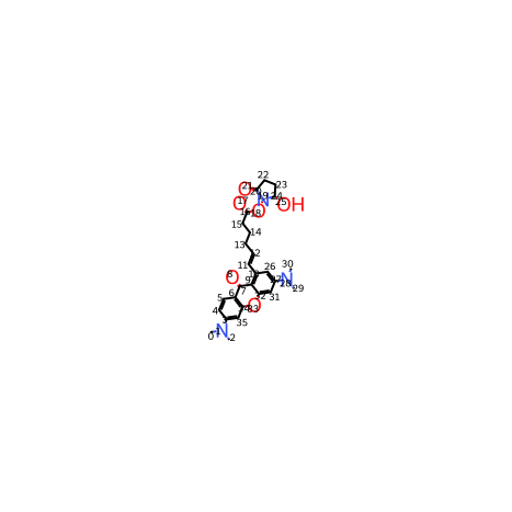 CN(C)c1ccc2c(=O)c3c(/C=C/CCCC(=O)ON4C(=O)CCC4O)cc(N(C)C)cc3oc2c1